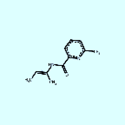 C/C=C(\C)NC(=O)c1cccc(C(F)(F)F)n1